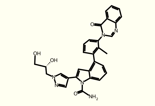 Cc1c(-c2cccc3c2cc(-c2cnn(C[C@@H](O)CO)c2)n3C(N)=O)cccc1-n1cnc2ccccc2c1=O